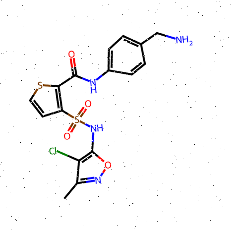 Cc1noc(NS(=O)(=O)c2ccsc2C(=O)Nc2ccc(CN)cc2)c1Cl